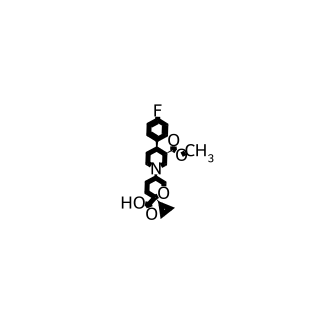 COC(=O)[C@@H]1CN([C@@H]2CC[C@@](C(=O)O)(C3CC3)OC2)CC[C@H]1c1ccc(F)cc1